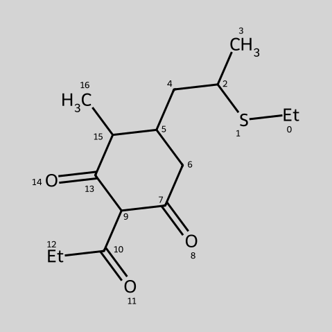 CCSC(C)CC1CC(=O)C(C(=O)CC)C(=O)C1C